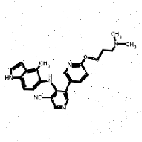 Cc1c(Nc2c(C#N)cncc2-c2ccc(OCCCN(C)C)nc2)ccc2[nH]ccc12